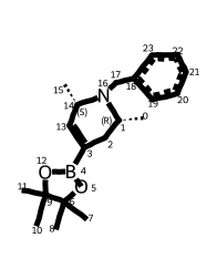 C[C@@H]1CC(B2OC(C)(C)C(C)(C)O2)=C[C@H](C)N1Cc1ccccc1